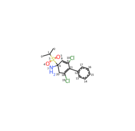 CC(C)S(=O)(=O)C1(N)C=C(Cl)C(c2ccccc2)=C(Cl)C1